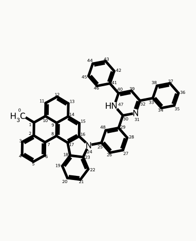 CC1c2ccccc2-c2c3c1cccc3cc1c2c2ccccc2n1-c1cccc(C2N=C(c3ccccc3)C=C(c3ccccc3)N2)c1